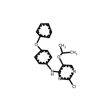 CC(C)Oc1cnc(Cl)nc1Nc1ccc(Oc2ccccc2)cc1